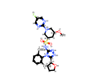 COc1cccc(OC)c1-n1c(NS(=O)(=O)[C@@H]2C[C@H](OC(C)C)CN(c3ncc(F)cn3)C2)nnc1[C@@H]1CCCO1